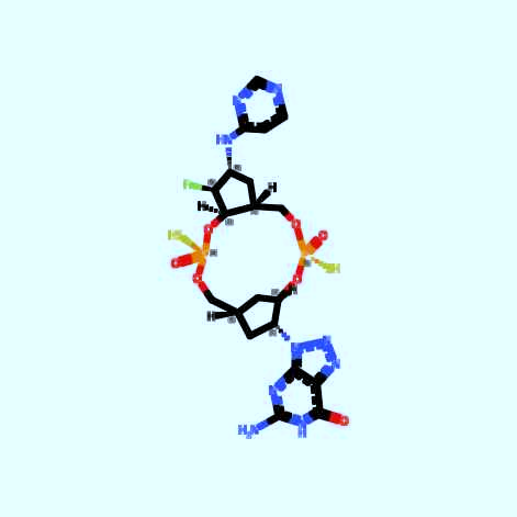 Nc1nc2c(nnn2[C@@H]2C[C@@H]3CO[P@@](=O)(S)O[C@@H]4[C@@H](CO[P@](=O)(S)O[C@@H]2C3)C[C@@H](Nc2ccncn2)[C@@H]4F)c(=O)[nH]1